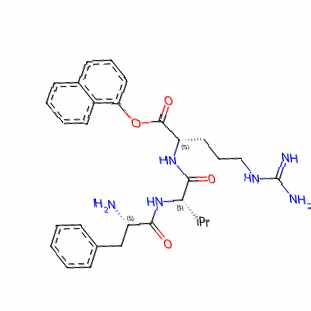 CC(C)[C@H](NC(=O)[C@@H](N)Cc1ccccc1)C(=O)N[C@@H](CCCNC(=N)N)C(=O)Oc1cccc2ccccc12